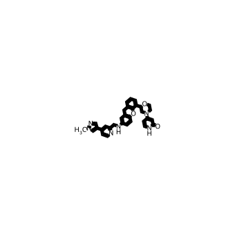 Cn1cc(-c2ccnc(CNc3ccc4c(c3)Cc3cccc(C5CN(c6cc[nH]c(=O)c6)CCO5)c3O4)c2)cn1